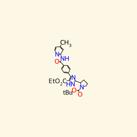 CCOC(=O)c1[nH]c(C2CCCN2C(=O)OC(C)(C)C)nc1-c1ccc(C(=O)Nc2cc(C)ccn2)cc1